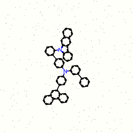 c1ccc(-c2cccc(N(c3ccc(-c4ccccc4-n4c5ccccc5c5cc6ccccc6cc54)cc3)c3ccc(-c4cc5ccccc5c5ccccc45)cc3)c2)cc1